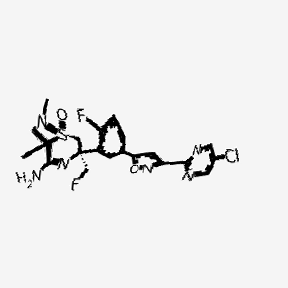 CN=[S@@]1(=O)C[C@@](CF)(c2cc(-c3cc(-c4ncc(Cl)cn4)no3)ccc2F)N=C(N)C1(C)C